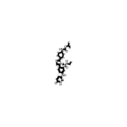 CCNS(=O)(=O)c1cc(Nc2ccc(=O)[nH]n2)ccc1-c1cnc(C2CCC(NC(=O)OC(C)C)CC2)s1